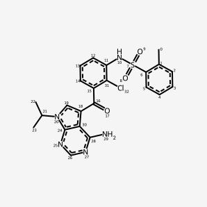 Cc1ccccc1S(=O)(=O)Nc1cccc(C(=O)c2cn(C(C)C)c3ncnc(N)c23)c1Cl